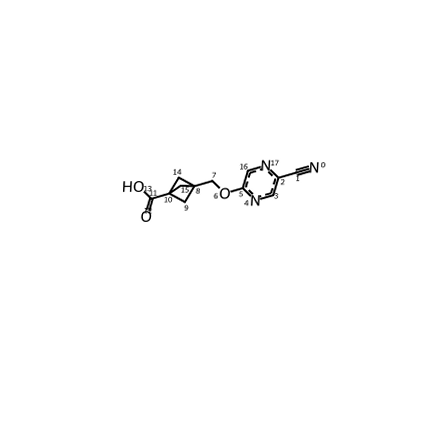 N#Cc1cnc(OCC23CC(C(=O)O)(C2)C3)cn1